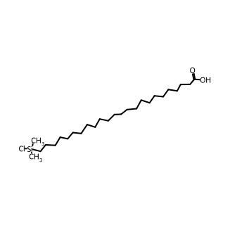 C[Si](C)(Cl)CCCCCCCCCCCCCCCCCCCCCCCC(=O)O